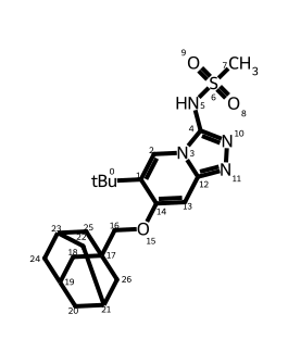 CC(C)(C)c1cn2c(NS(C)(=O)=O)nnc2cc1OCC12CC3CC(CC(C3)C1)C2